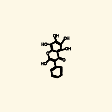 O=c1c(-c2ccccc2)c(O)oc2c(O)c(O)c(O)c(O)c12